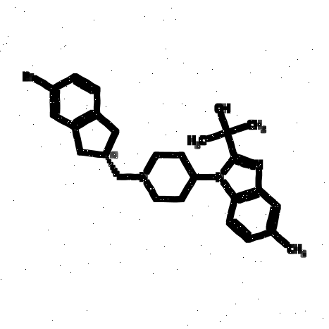 Cc1ccc2c(c1)nc(C(C)(C)O)n2C1CCN(C[C@H]2Cc3ccc(Br)cc3C2)CC1